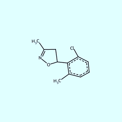 CC1=NOC(c2c(C)cccc2Cl)C1